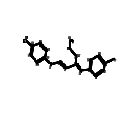 Cc1ccc(N=C(C=CSc2ccc(Cl)cc2)SCC(C)C)cc1